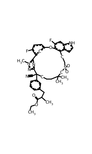 CCOC(=O)C(C)Cc1cccc(C2(C#N)CCCC(C)(C)CS(=O)(=O)CCc3c(c(F)cc4[nH]ccc34)Oc3ccc(F)c(c3)-c3nc2nn3C)c1